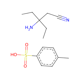 CCC(N)(CC)CC#N.Cc1ccc(S(=O)(=O)O)cc1